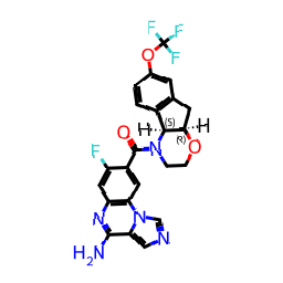 Nc1nc2cc(F)c(C(=O)N3CCO[C@@H]4Cc5cc(OC(F)(F)F)ccc5[C@@H]43)cc2n2cncc12